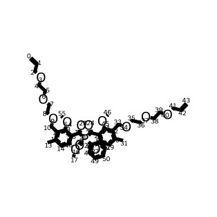 C=CCOCCOCCOCc1c(C)cc(OC)c(C(=O)P(=O)(C(=O)c2c(OC)cc(C)c(COCCOCCOCC=C)c2OC)c2ccccc2)c1OC